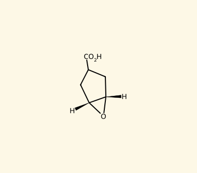 O=C(O)C1C[C@@H]2O[C@@H]2C1